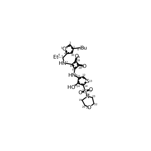 CCC(C)c1coc([C@@H](CC)Nc2c(Nc3csc(S(=O)(=O)N4CCOCC4)c3O)c(=O)c2=O)c1